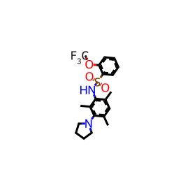 Cc1cc(C)c(N2CCCC2)c(C)c1NS(=O)(=O)c1ccccc1OC(F)(F)F